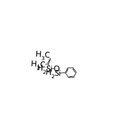 CC=C(C)[SiH2]O[SiH2]c1ccccc1